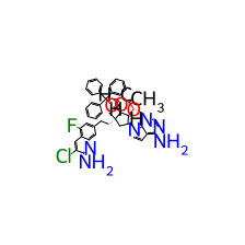 CC1(C)O[C@H]2[C@H](n3ccc4c(N)ncnc43)C[C@@](CCc3cc(F)c4cc(Cl)c(N)nc4c3)(COC(c3ccccc3)(c3ccccc3)c3ccccc3)[C@H]2O1